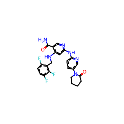 NC(=O)c1cnc(Nc2ccc(N3CCCCC3=O)cn2)cc1NCc1c(F)ccc(F)c1F